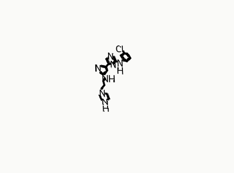 Clc1cccc(Nc2cncc(-c3cncc(NCCCN4CCNCC4)c3)n2)c1